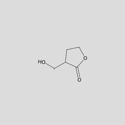 O=C1OCCC1[CH]O